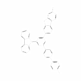 Cc1ccc(-c2ccc(-c3cc(-c4ccc5c(c4)Cc4cc(C)ccc4-5)cc(-n4c5ccccc5c5ccccc54)c3)cc2)cc1